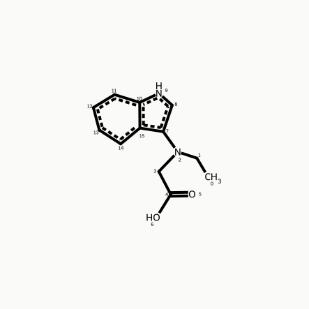 CCN(CC(=O)O)c1c[nH]c2ccccc12